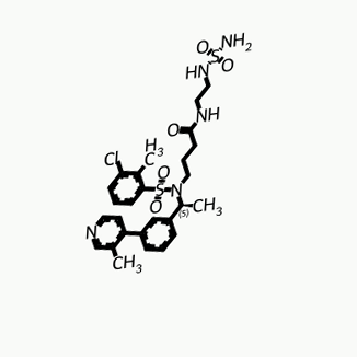 Cc1cnccc1-c1cccc([C@H](C)N(CCCC(=O)NCCNS(N)(=O)=O)S(=O)(=O)c2cccc(Cl)c2C)c1